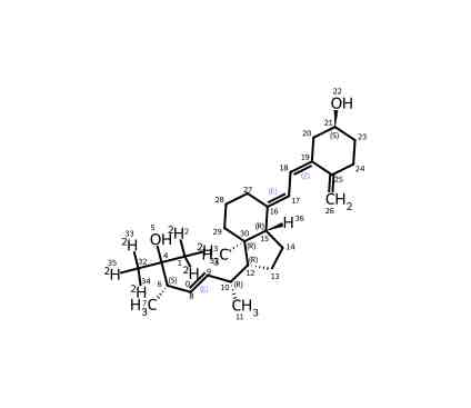 [2H]C([2H])([2H])C(O)([C@@H](C)/C=C/[C@@H](C)[C@H]1CC[C@H]2/C(=C/C=C3/C[C@@H](O)CCC3=C)CCC[C@]12C)C([2H])([2H])[2H]